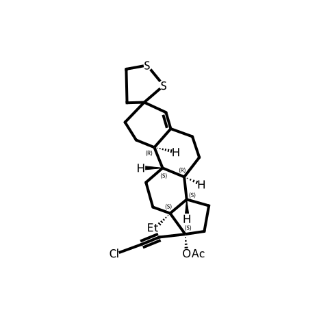 CC[C@]12CC[C@H]3[C@@H](CCC4=CC5(CCSS5)CC[C@@H]43)[C@@H]1CC[C@]2(C#CCl)OC(C)=O